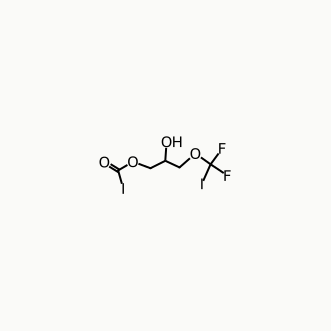 O=C(I)OCC(O)COC(F)(F)I